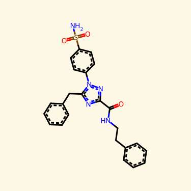 NS(=O)(=O)c1ccc(-n2nc(C(=O)NCCc3ccccc3)nc2Cc2ccccc2)cc1